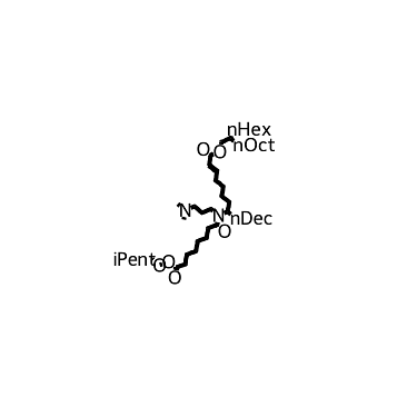 CCCCCCCCCCC(CCCCC=CC(=O)OCC(CCCCCC)CCCCCCCC)N(CCCN(C)C)C(=O)CCCCCCC(=O)OOC(C)CCC